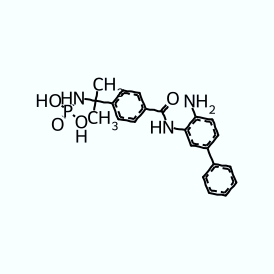 CC(C)(NP(=O)(O)O)c1ccc(C(=O)Nc2cc(-c3ccccc3)ccc2N)cc1